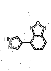 c1cc(-c2cn[nH]c2)c2nonc2c1